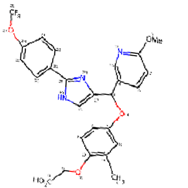 COc1ccc(C(Oc2ccc(OCC(=O)O)c(C)c2)c2c[nH]c(-c3ccc(OC(F)(F)F)cc3)n2)cn1